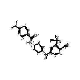 CC(C)c1ccc(C(=O)N[C@H]2CC[C@H](N(C)c3ccc(C#N)c(C(F)(F)F)c3)CC2)cn1